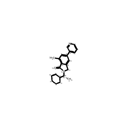 Cc1cc(-c2cccnc2)cc2c1C(=O)N([C@H](C)C1CCCCC1)C2